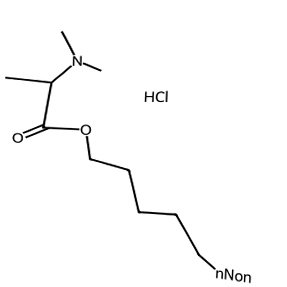 CCCCCCCCCCCCCCOC(=O)C(C)N(C)C.Cl